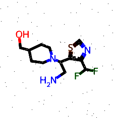 NCC(c1scnc1C(F)F)N1CCC(CO)CC1